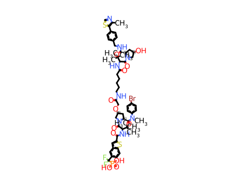 Cc1ncsc1-c1ccc(CNC(=O)[C@@H]2C[C@@H](O)CN2C(=O)C(NC(=O)CCCCCNC(=O)CO[C@@H]2C[C@@H](C(=O)N(C)c3ccc(Br)cc3)N(C(=O)C(NC(=O)c3cc4cc(C(F)(F)P(=O)(O)O)ccc4s3)C(C)(C)C)C2)C(C)(C)C)cc1